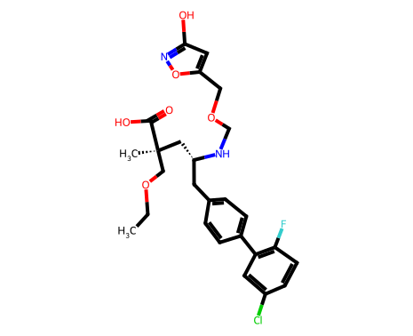 CCOC[C@](C)(C[C@@H](Cc1ccc(-c2cc(Cl)ccc2F)cc1)NCOCc1cc(O)no1)C(=O)O